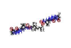 CCC(CCOC(=O)N(C)C1CC(C)(C)CC(C)(CNC(=O)Nc2nc(=O)cc(C)[nH]2)C1)CCC(CC)CC(CC)CCOC(=O)NC1CC(C)(C)CC(C)(CNC(=O)Nc2cc(=O)cc(C)[nH]2)C1